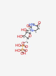 O=c1ccn([C@@H]2O[C@H](COP(=O)(O)P(=O)(O)O)C(O)[C@@H]2O)c(=O)[nH]1